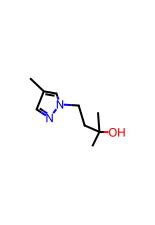 Cc1cnn(CCC(C)(C)O)c1